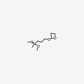 CO[Si](C)(CCCOC1CCO1)OC